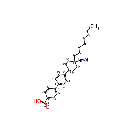 CCCCCCCCC1(C#N)CCC(c2ccc(-c3ccc(C(=O)O)cc3)cc2)CC1